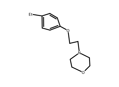 CCc1ccc(OCCN2CCOCC2)cc1